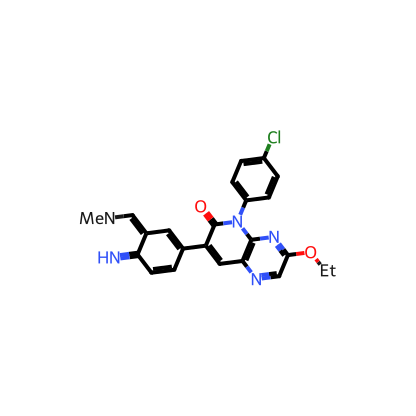 CCOc1cnc2cc(C3=C/C(=C/NC)C(=N)C=C3)c(=O)n(-c3ccc(Cl)cc3)c2n1